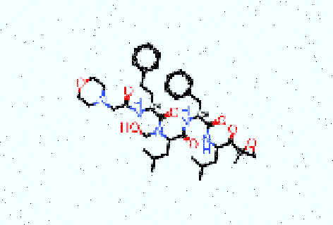 CC(C)CC(NC(=O)[C@H](Cc1ccccc1)NC(=O)C(CC(C)C)N(CO)C(=O)[C@H](CCc1ccccc1)NC(=O)CN1CCOCC1)C(=O)[C@@]1(C)CO1